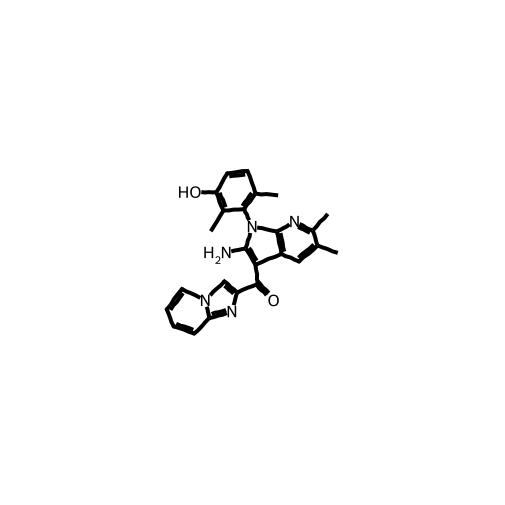 Cc1cc2c(C(=O)c3cn4ccccc4n3)c(N)n(-c3c(C)ccc(O)c3C)c2nc1C